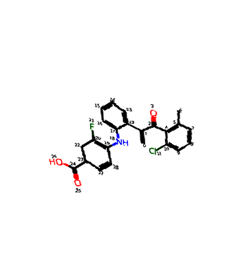 C=C(C(=O)c1c(C)cccc1Cl)c1ccccc1NC1=C(F)CC(C(=O)O)C=C1